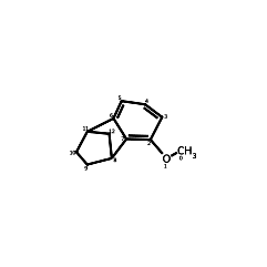 COc1cccc2c1C1CCC2C1